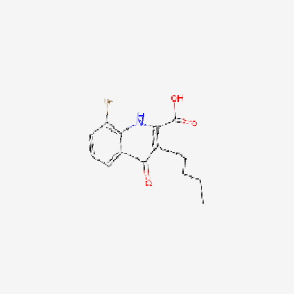 CCCCc1c(C(=O)O)[nH]c2c(Br)cccc2c1=O